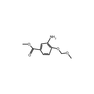 COCOc1ccc(C(=O)OC)cc1N